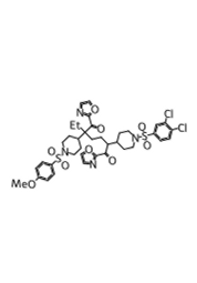 CCC(CCC(C(=O)c1ncco1)C1CCN(S(=O)(=O)c2ccc(Cl)c(Cl)c2)CC1)(C(=O)c1ncco1)C1CCN(S(=O)(=O)c2ccc(OC)cc2)CC1